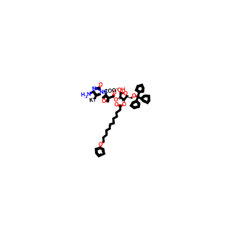 Nc1nc(=O)[nH]cc1I.O=C(CCCCCCCCCCCOc1ccccc1)O[C@H]1[C@H](OC(=O)c2cocc2C(=O)[O-])C(O)O[C@@H]1COC(c1ccccc1)(c1ccccc1)c1ccccc1.[K+]